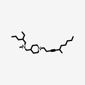 CCCCCC(C)C#CCCN1CCC(CN(C)CC(CC)CCC)CC1